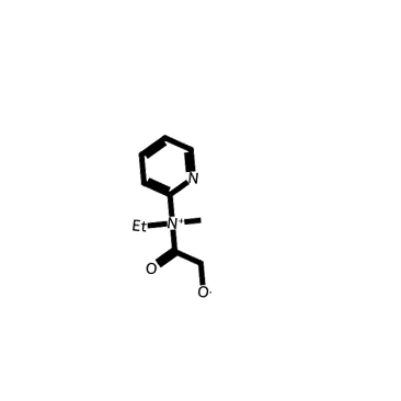 CC[N+](C)(C(=O)C[O])c1ccccn1